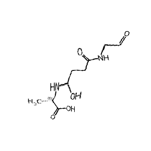 C[C@H](NC(O)CCC(=O)NCC=O)C(=O)O